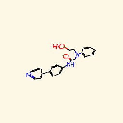 O=C(CN(CCO)c1ccccc1)Nc1ccc(-c2ccncc2)cc1